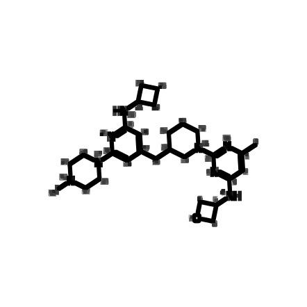 Cc1cc(NC2COC2)nc(N2CCCC(Cc3cc(NC4CCC4)nc(N4CCN(I)CC4)c3)C2)n1